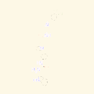 N[C@@H](Cc1c[nH]c2ccccc12)C(=O)Nc1cccc(-c2csc(SCC(=O)NC3CCN(Cc4ccc(Cl)c(Cl)c4)CC3)n2)c1